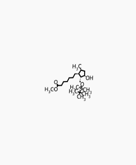 COC(=O)CCCCCC[C@@H]1[C@@H](CO[Si](C)(C)C(C)(C)C)[C@@H](O)C[C@@H]1C